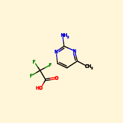 Cc1ccnc(N)n1.O=C(O)C(F)(F)F